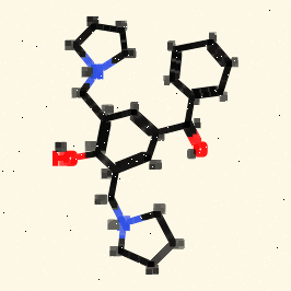 O=C(c1ccccc1)c1cc(CN2CCCC2)c(O)c(CN2CCCC2)c1